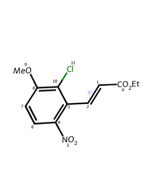 CCOC(=O)/C=C/c1c([N+](=O)[O-])ccc(OC)c1Cl